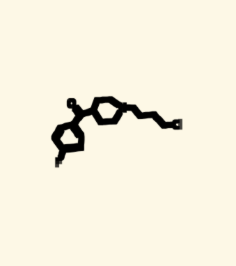 O=C(c1ccc(F)cc1)C1CCN(CCCCCl)CC1